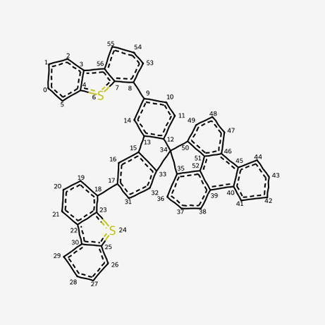 c1ccc2c(c1)sc1c(-c3ccc4c(c3)-c3cc(-c5cccc6c5sc5ccccc56)ccc3C43c4cccc5c6ccccc6c6cccc3c6c45)cccc12